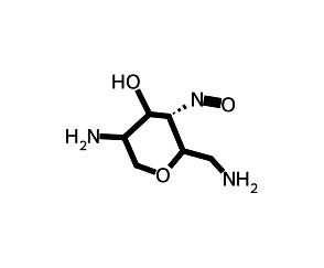 NCC1OCC(N)C(O)[C@@H]1N=O